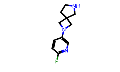 Fc1ccc(N2CC3(CCNC3)C2)cn1